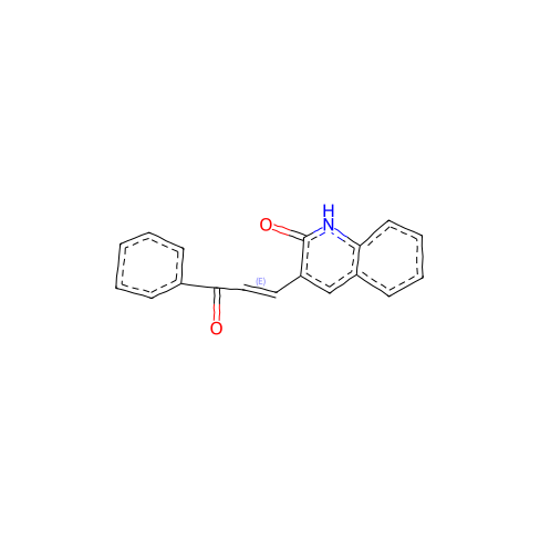 O=C(/C=C/c1cc2ccccc2[nH]c1=O)c1ccccc1